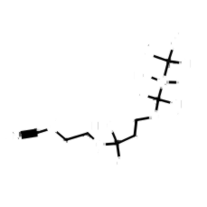 CC(C)(CCOC(C)(C)[Si](C)(C)C(C)(C)C)OCCSC#N